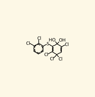 OC1(O)C(Cl)=CC(Cl)(Cl)C(Cl)=C1Sc1cccc(Cl)c1Cl